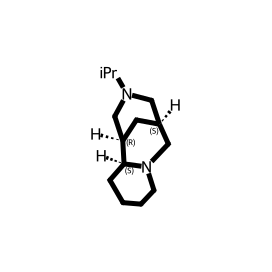 CC(C)N1C[C@@H]2C[C@H](C1)[C@@H]1CCCCN1C2